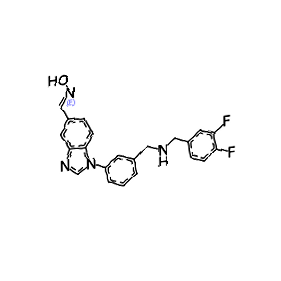 O/N=C/c1ccc2c(c1)ncn2-c1cccc(CNCc2ccc(F)c(F)c2)c1